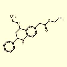 CCOC(=O)Cc1ccc2c(c1)C(OCC)CC(c1ccccc1)N2